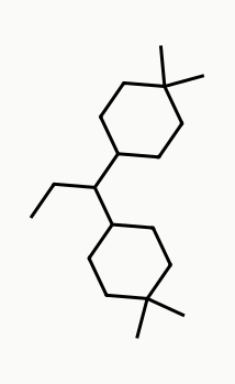 CCC(C1CCC(C)(C)CC1)C1CCC(C)(C)CC1